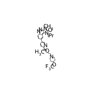 CC(C)n1c(=O)n(C)c2nnc3ccc(-c4ccc([C@@H](C)OCCN5CCC(OC(F)(F)F)CC5)nc4)cc3c21